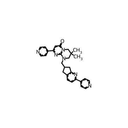 CC1(C)CN(CC2Cc3ccc(-c4ccncc4)nc3C2)c2nc(-c3ccncc3)cc(=O)n2C1